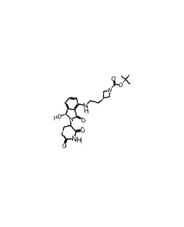 CC(C)(C)OC(=O)N1CC(CCNc2cccc3c2C(=O)N(C2CCC(=O)NC2=O)C3O)C1